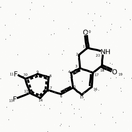 O=C1CC2=CC(=Cc3ccc(F)c(F)c3)CC=C2C(=O)N1